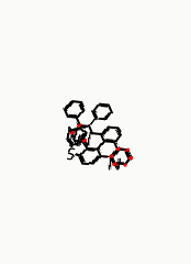 c1ccc(-c2cccc(-c3nnnc(-c4ccccc4)c3-c3ccccc3)c2-c2c(-c3ccccn3)ccc3sc4ccccc4c23)cc1